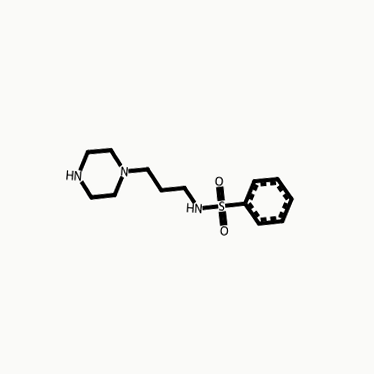 O=S(=O)(NCCCN1CCNCC1)c1ccccc1